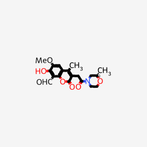 COc1cc2c(C)c(CC(=O)N3CCO[C@@H](C)C3)c(=O)oc2c(C=O)c1O